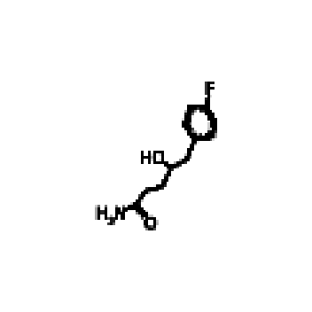 NC(=O)CCC(O)Cc1ccc(F)cc1